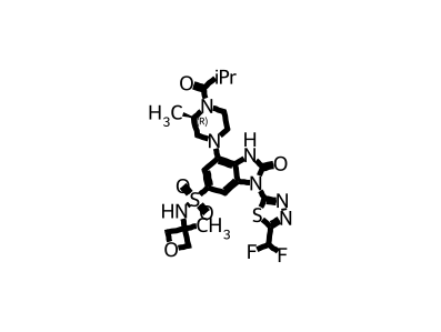 CC(C)C(=O)N1CCN(c2cc(S(=O)(=O)NC3(C)COC3)cc3c2[nH]c(=O)n3-c2nnc(C(F)F)s2)C[C@H]1C